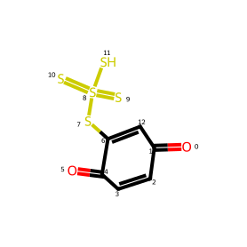 O=C1C=CC(=O)C(SS(=S)(=S)S)=C1